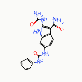 NC(=O)Nc1[nH]c2cc(NC(=O)Nc3ccccc3)ccc2c1C(N)=O